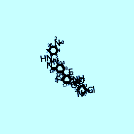 CN(C)[C@H]1CC[C@H](Nc2ncc3cc(-c4c(F)ccc(NS(=O)(=O)c5cncc(Cl)c5)c4F)ccc3n2)CC1